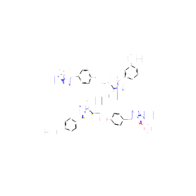 Cc1cccc(-c2nc(C)c(COc3ccc(-c4n[nH]c(=O)o4)cc3)o2)c1.Cc1nc(-c2ccc(C(F)(F)F)cc2)sc1COc1ccc(-c2n[nH]c(=O)o2)cc1